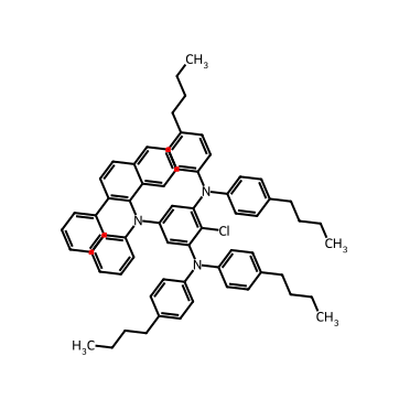 CCCCc1ccc(N(c2ccc(CCCC)cc2)c2cc(N(c3ccccc3)c3c(-c4ccccc4)ccc4ccccc34)cc(N(c3ccc(CCCC)cc3)c3ccc(CCCC)cc3)c2Cl)cc1